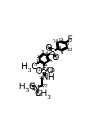 Cc1ccc(S(=O)(=O)c2ccc(F)cc2)cc1S(=O)(=O)NCCN(C)C